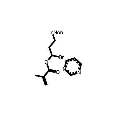 C=C(C)C(=O)OC(Br)CCCCCCCCCCC.c1cncnc1